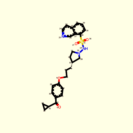 O=C(c1ccc(OCCC[C@@H]2CCN(NS(=O)(=O)c3cccc4ccncc34)C2)cc1)C1CC1